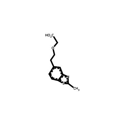 Cc1nc2cc(CCOCC(=O)O)ccc2s1